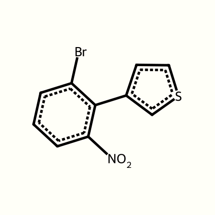 O=[N+]([O-])c1cccc(Br)c1-c1ccsc1